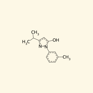 Cc1cccc(-n2nc(C(C)C)cc2O)c1